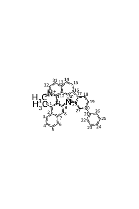 Cc1c2ccccc2cc2c1c1c3c(ccc4c5ccc(-c6ccccc6)cc5n2c43)cc[n+]1C